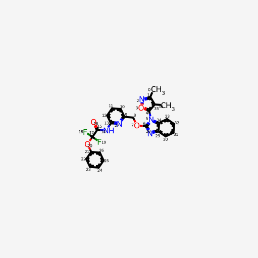 Cc1noc(-n2c(OCc3cccc(NC(=O)C(F)(F)Oc4ccccc4)n3)nc3ccccc32)c1C